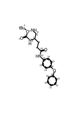 CC(C)(C)OC(=O)NC(CN)CCC(=O)Nc1ccc(Oc2ccccc2)cc1